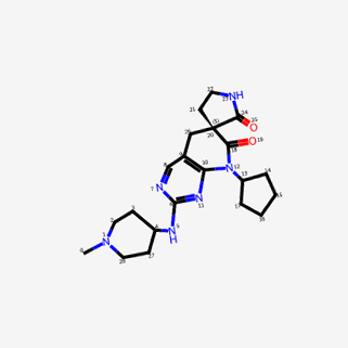 CN1CCC(Nc2ncc3c(n2)N(C2CCCC2)C(=O)[C@]2(CCNC2=O)C3)CC1